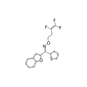 FC(F)=C(F)CCON=C(c1cc2ccccc2o1)c1cccs1